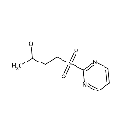 CC([O])CCS(=O)(=O)c1ncccn1